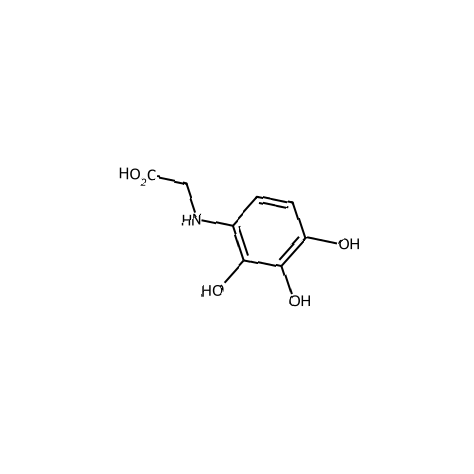 O=C(O)CNc1ccc(O)c(O)c1O